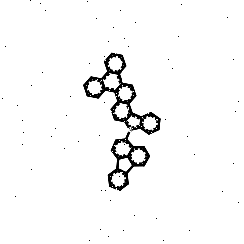 c1ccc2c(c1)-c1cccc3c(-n4c5ccccc5c5c6ccc7c8ccccc8c8ccccc8c7c6ccc54)ccc-2c13